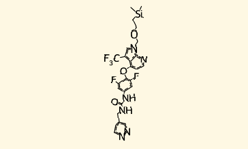 C[Si](C)(C)CCOCn1cc(C(F)(F)F)c2c(Oc3c(F)cc(NC(=O)NCc4ccnnc4)cc3F)ccnc21